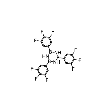 Fc1cc(B2NB(c3cc(F)c(F)c(F)c3)NB(c3cc(F)c(F)c(F)c3)N2)cc(F)c1F